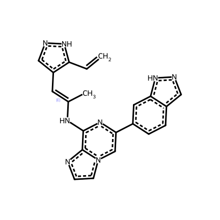 C=Cc1[nH]ncc1/C=C(\C)Nc1nc(-c2ccc3cn[nH]c3c2)cn2ccnc12